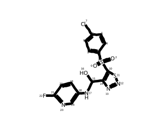 O=S(=O)(c1ccc(Cl)cc1)c1snnc1C(O)Nc1ccc(F)nc1